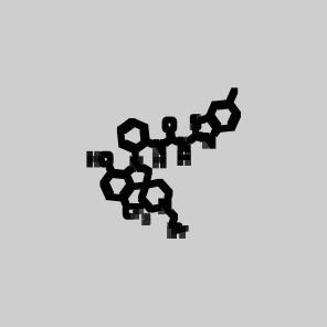 Cc1ccc2nc(NC(=O)Nc3ccccc3N3CC4(CCN(CC(C)C)CC4)c4c(C(F)(F)F)ccc(O)c43)sc2c1